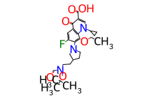 CCOc1c(N2CCC(CCN(C=O)OC(C)(C)C)C2)c(F)cc2c(=O)c(C(=O)O)cn(C3CC3)c12